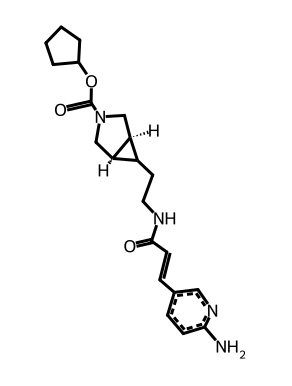 Nc1ccc(/C=C/C(=O)NCCC2[C@H]3CN(C(=O)OC4CCCC4)C[C@@H]23)cn1